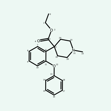 CCOC(=O)C1(c2ccccc2Oc2ccccc2)CCN(C)CC1